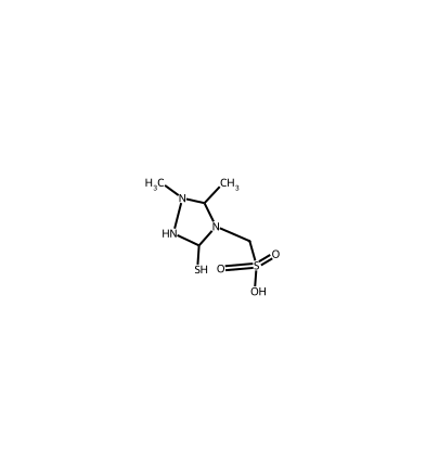 CC1N(C)NC(S)N1CS(=O)(=O)O